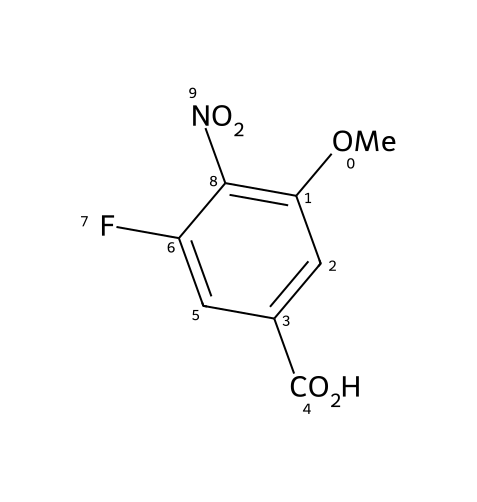 COc1cc(C(=O)O)cc(F)c1[N+](=O)[O-]